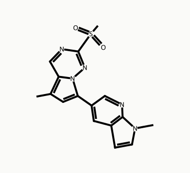 Cc1cc(-c2cnc3c(ccn3C)c2)n2nc(S(C)(=O)=O)ncc12